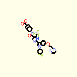 O=C(NC1CC2CC(C1)CC(C(=O)O)C2)c1cnc(-c2cn(C3CCC(F)(F)CC3)c3cc(OCCc4ncccn4)ccc23)nc1C(F)(F)F